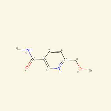 CNC(=O)c1ccc(COC)nc1